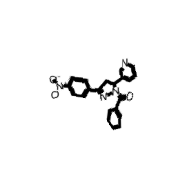 O=C(c1ccccc1)N1N=C(c2ccc([N+](=O)[O-])cc2)CC1c1cccnc1